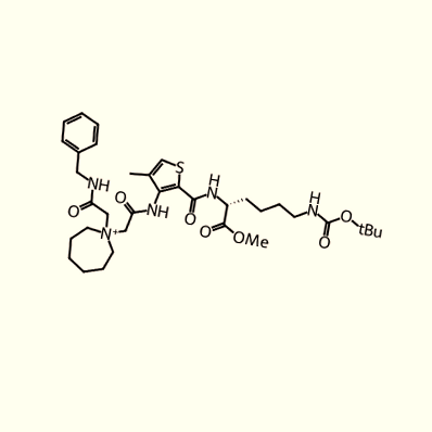 COC(=O)[C@@H](CCCCNC(=O)OC(C)(C)C)NC(=O)c1scc(C)c1NC(=O)C[N+]1(CC(=O)NCc2ccccc2)CCCCCC1